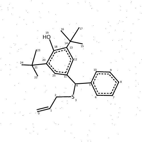 C=CCSC(c1ccccc1)c1cc(C(C)(C)C)c(O)c(C(C)(C)C)c1